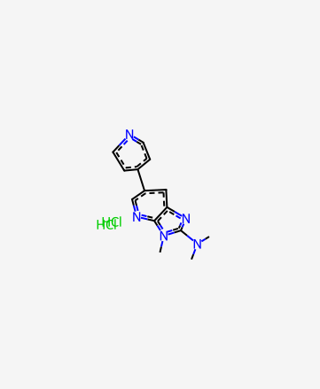 CN(C)c1nc2cc(-c3ccncc3)cnc2n1C.Cl.Cl